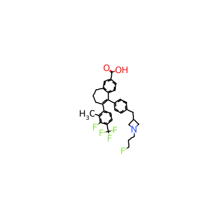 Cc1c(C2=C(c3ccc(CC4CN(CCCF)C4)cc3)c3ccc(C(=O)O)cc3CCC2)ccc(C(F)(F)F)c1F